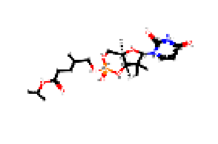 CC(CCC(=O)OC(C)C)CO[P@]1(=O)OC[C@H]2O[C@@H](n3ccc(=O)[nH]c3=O)C(C)(C)[C@@H]2O1